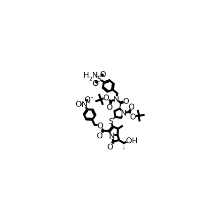 CC1C(S[C@H]2C[C@@H](C(=O)N(Cc3ccc(S(N)(=O)=O)cc3)C(=O)OC(C)(C)C)N(C(=O)OC(C)(C)C)C2)=C(C(=O)OCc2ccc([N+](=O)[O-])cc2)N2C(=O)C([C@@H](C)O)C12